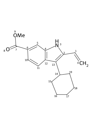 C=Cc1[nH]c2cc(C(=O)OC)ccc2c1C1CCCCC1